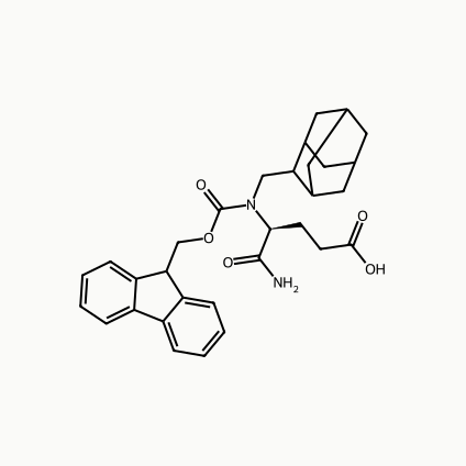 NC(=O)[C@H](CCC(=O)O)N(CC1C2CC3CC(C2)CC1C3)C(=O)OCC1c2ccccc2-c2ccccc21